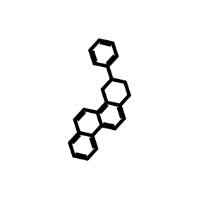 c1ccc(C2CCc3ccc4c(ccc5ccccc54)c3C2)cc1